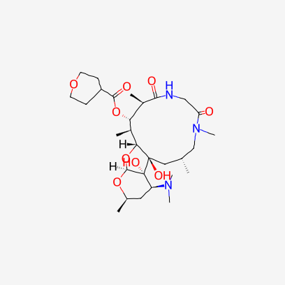 C[C@H]1CN(C)C(=O)CNC(=O)[C@H](C)[C@@H](OC(=O)C2CCOCC2)[C@H](C)[C@H]2O[C@@H]3O[C@H](C)C[C@H](N(C)C)[C@]3(O)[C@@]2(O)C1